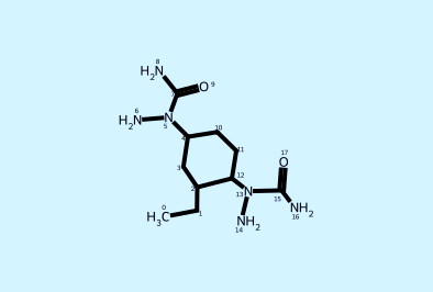 CCC1CC(N(N)C(N)=O)CCC1N(N)C(N)=O